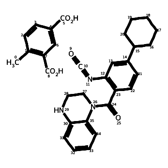 Cc1ccc(C(=O)O)cc1C(=O)O.O=C=Nc1cc(C2CCCCC2)ccc1C(=O)N1CCNc2ccccc21